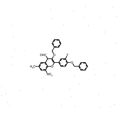 Cc1cc2c(c([N+](=O)[O-])c1)OC(c1ccc(OCc3ccccc3)c(F)c1)=C(OCc1ccccc1)C2C=O